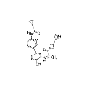 C[C@H](Nc1cc(-c2cnc(NC(=O)C3CC3)cn2)ccc1C#N)C(=O)N1CC(O)C1